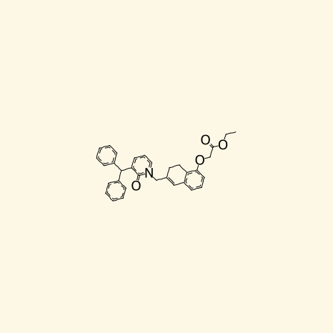 CCOC(=O)COc1cccc2c1CCC(Cn1cccc(C(c3ccccc3)c3ccccc3)c1=O)=C2